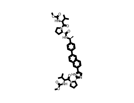 COC(=O)N[C@H](C(=O)N1CCC[C@H]1C(=O)N[C@@H](C)c1ccc(-c2ccc3cc(-c4cnc([C@@H]5CCCN5C(=O)[C@@H](NC(=O)OC)C(C)C)[nH]4)ccc3c2)cc1)C(C)C